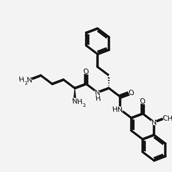 Cn1c(=O)c(NC(=O)[C@@H](CCc2ccccc2)NC(=O)[C@@H](N)CCCN)cc2ccccc21